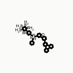 Bc1c(B)c(B)c(-c2ccc(-c3nc(-c4ccccc4)nc(-c4ccc5oc6ccc(-c7ccc8c9ccccc9c9ccccc9c8c7)cc6c5c4)n3)cc2)c(B)c1B